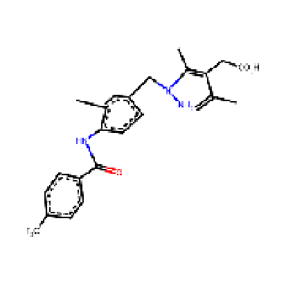 C=C(C)/C(CC(=O)O)=C(/C)N(N)Cc1ccc(NC(=O)c2ccc(C(F)(F)F)cc2)c(C)c1